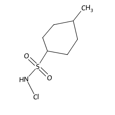 CC1CCC(S(=O)(=O)NCl)CC1